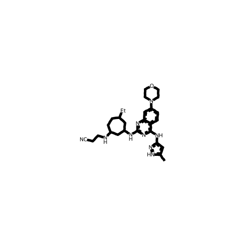 CCC1CCC(NCCC#N)CC(Nc2nc(Nc3cc(C)[nH]n3)c3ccc(N4CCOCC4)cc3n2)C1